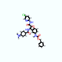 CN(C(=O)OCc1ccccc1)c1ccc2oc(C(=O)Nc3ccc(Cl)cn3)c(NC(=O)C3CCC(N(C)C)CC3)c2c1